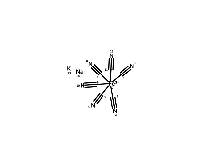 N#[C][Fe-3]([C]#N)([C]#N)([C]#N)([C]#N)[C]#N.[K+].[Na+]